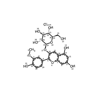 COc1cc(-c2[o+]c3cc(O)cc(O)c3cc2O[C@@H]2O[C@H](CO)[C@@H](O)[C@H](O)[C@H]2O)ccc1O.[Cl-]